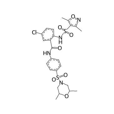 Cc1noc(C)c1S(=O)(=O)Nc1ccc(Cl)cc1C(=O)Nc1ccc(S(=O)(=O)N2CC(C)OC(C)C2)cc1